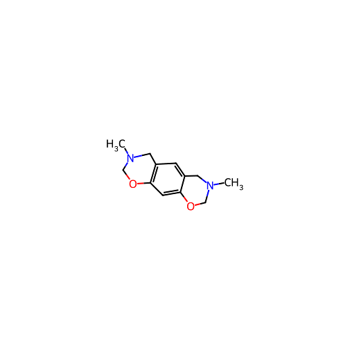 CN1COc2cc3c(cc2C1)CN(C)CO3